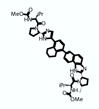 COC(=O)N[C@H](C(=O)N1CCC[C@H]1c1ncc(-c2ccc(-c3ccc4c(ccc5nc([C@@H]6CC[C@H](C)N6C(=O)[C@@H](NC(=O)OC)C(C)C)[nH]c54)c3)c3c2CCCC3)[nH]1)C(C)C